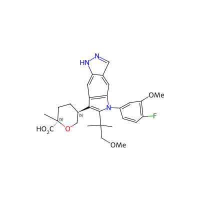 COCC(C)(C)c1c([C@@H]2CC[C@@](C)(C(=O)O)OC2)c2cc3[nH]ncc3cc2n1-c1ccc(F)c(OC)c1